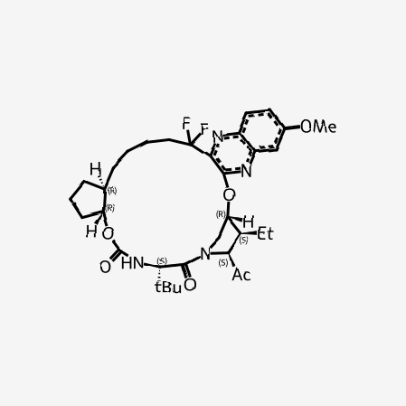 CC[C@@H]1[C@@H]2CN(C(=O)[C@H](C(C)(C)C)NC(=O)O[C@@H]3CCC[C@H]3CCCCC(F)(F)c3nc4ccc(OC)cc4nc3O2)[C@@H]1C(C)=O